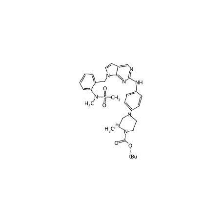 C[C@@H]1CN(c2ccc(Nc3ncc4ccn(Cc5ccccc5N(C)S(C)(=O)=O)c4n3)cc2)CCN1C(=O)OC(C)(C)C